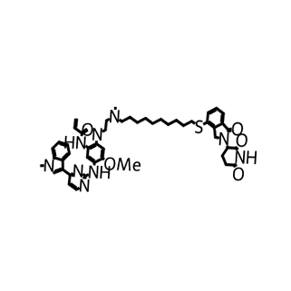 C=CC(=O)Nc1cc(Nc2nccc(-c3cn(C)c4ccccc34)n2)c(OC)cc1N(C)CCN(C)CCCCCCCCCCSc1cccc2c1CN(C1CCC(=O)NC1=O)C2=O